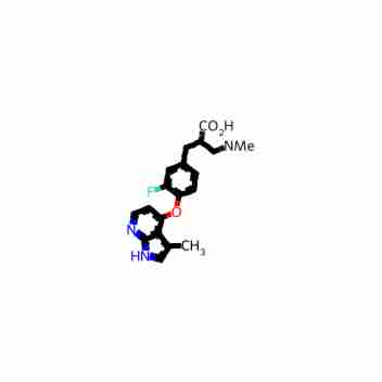 CNCC(Cc1ccc(Oc2ccnc3[nH]cc(C)c23)c(F)c1)C(=O)O